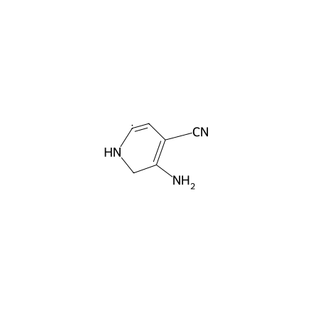 N#CC1=C(N)CN[C]=C1